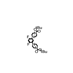 CC(C)(C)OC(=O)N1CCN(c2cc(N3CCN(C(=O)OC(C)(C)C)CC3)c(F)cc2F)CC1